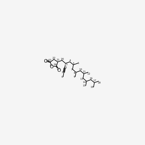 CC#C[C@H](CC(C)CC(C)CC(C)CC(C)CC(C)C)CC1CC(=O)OC1=O